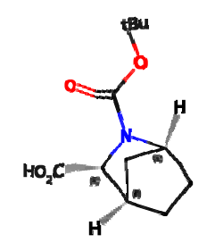 CC(C)(C)OC(=O)N1[C@H]2CC[C@H](C2)[C@@H]1C(=O)O